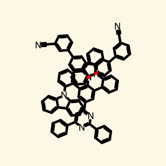 N#Cc1cccc(-c2ccc3c(c2)c2cc(-c4cccc(C#N)c4)ccc2n3-c2c(-c3ccccc3-n3c4ccccc4c4ccccc43)cc(-c3cc(-c4ccccc4)nc(-c4ccccc4)n3)cc2-c2ccccc2-n2c3ccccc3c3ccccc32)c1